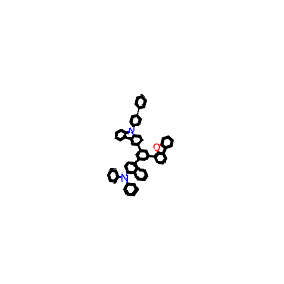 c1ccc(-c2ccc(-n3c4ccccc4c4cc(-c5cc(-c6ccc(N(c7ccccc7)c7ccccc7)c7ccccc67)cc(-c6cccc7c6oc6ccccc67)c5)ccc43)cc2)cc1